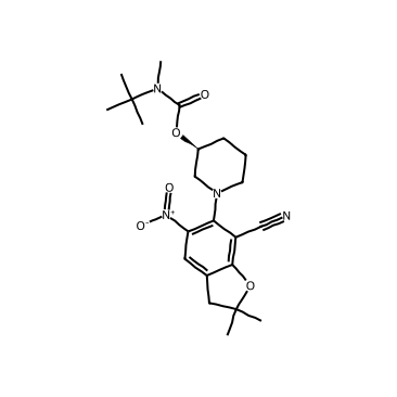 CN(C(=O)O[C@H]1CCCN(c2c([N+](=O)[O-])cc3c(c2C#N)OC(C)(C)C3)C1)C(C)(C)C